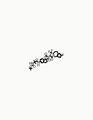 CC(C)(C)OC(=O)NC(C)(C)C(=O)Nc1ccc2c(c1)CCC21OC(=O)N(CC(=O)N2Cc3ccc(F)cc3CC[C@H]2C(F)(F)F)C1=O